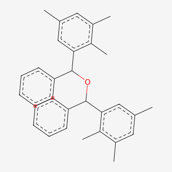 Cc1cc(C)c(C)c(C(OC(c2ccccc2)c2cc(C)cc(C)c2C)c2ccccc2)c1